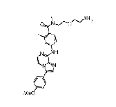 COc1ccc(-c2cnc3c(Nc4ccc(C(=O)N(C)CCOCCN)c(C)c4)nccn23)cc1